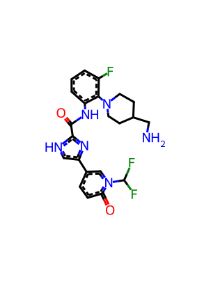 NCC1CCN(c2c(F)cccc2NC(=O)c2nc(-c3ccc(=O)n(C(F)F)c3)c[nH]2)CC1